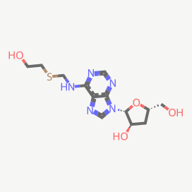 OCCSCNc1ncnc2c1ncn2[C@@H]1O[C@H](CO)C[C@H]1O